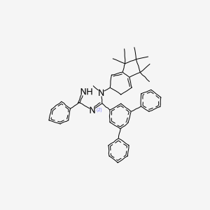 CN(/C(=N\C(=N)c1ccccc1)c1cc(-c2ccccc2)cc(-c2ccccc2)c1)C1C=C2C(=CC1)C(C)(C)C(C)(C)C2(C)C